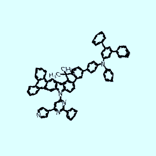 CC1(C)c2ccc(-c3ccc(N(c4ccccc4)c4cc(-c5ccccc5)cc(-c5ccccc5)c4)cc3)cc2-c2ccc3c(c21)c1cc2c4ccccc4c4ccccc4c2cc1n3-c1cc(-c2ccncc2)nc(-c2ccccc2)n1